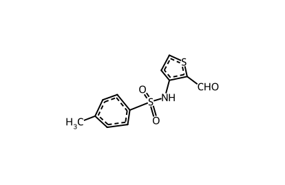 Cc1ccc(S(=O)(=O)Nc2ccsc2C=O)cc1